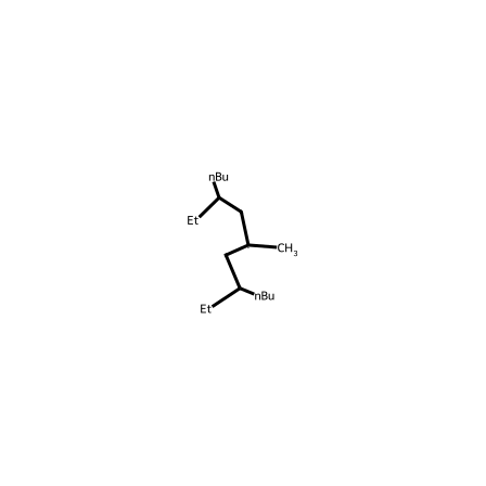 CCCCC(CC)C[C](C)CC(CC)CCCC